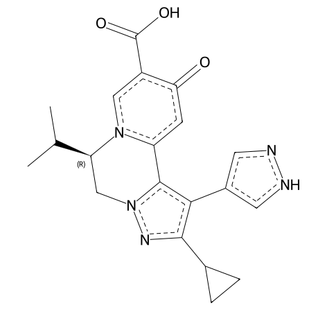 CC(C)[C@@H]1Cn2nc(C3CC3)c(-c3cn[nH]c3)c2-c2cc(=O)c(C(=O)O)cn21